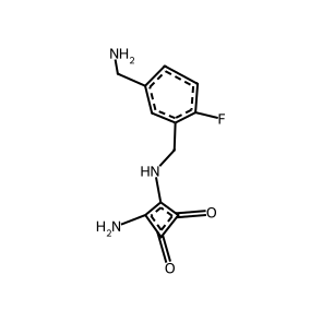 NCc1ccc(F)c(CNc2c(N)c(=O)c2=O)c1